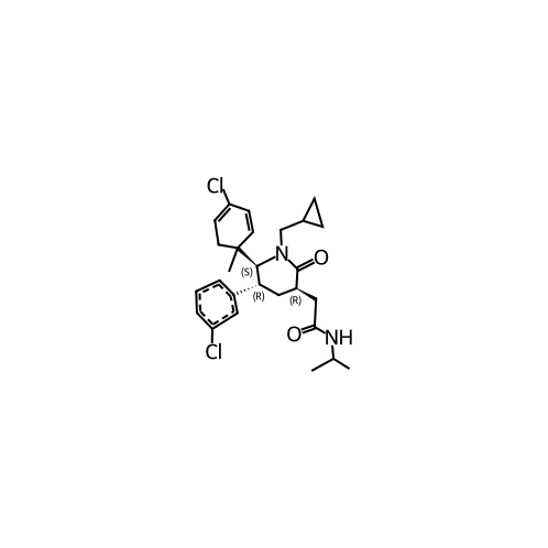 CC(C)NC(=O)C[C@H]1C[C@H](c2cccc(Cl)c2)[C@@H](C2(C)C=CC(Cl)=CC2)N(CC2CC2)C1=O